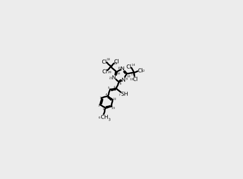 Cc1ccc(C=C(S)c2nc(C(Cl)(Cl)Cl)nc(C(Cl)(Cl)Cl)n2)cc1